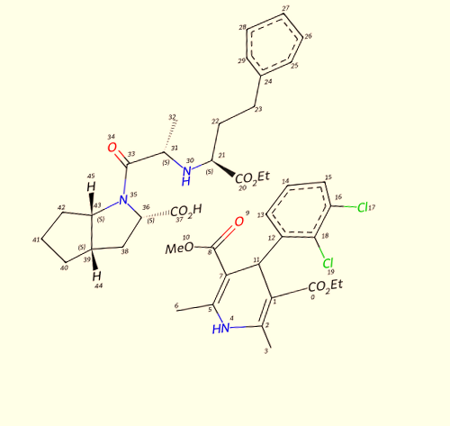 CCOC(=O)C1=C(C)NC(C)=C(C(=O)OC)C1c1cccc(Cl)c1Cl.CCOC(=O)[C@H](CCc1ccccc1)N[C@@H](C)C(=O)N1[C@H](C(=O)O)C[C@@H]2CCC[C@@H]21